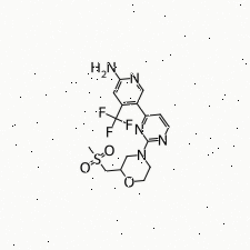 CS(=O)(=O)CC1CN(c2nccc(-c3cnc(N)cc3C(F)(F)F)n2)CCO1